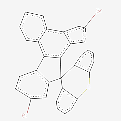 Brc1ccc2c(c1)C1(c3ccccc3Sc3ccccc31)c1c-2c2ccccc2c2cc(Br)ccc12